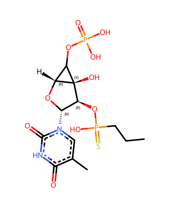 CCCP(O)(=S)O[C@H]1[C@H](n2cc(C)c(=O)[nH]c2=O)O[C@@H]2C(OP(=O)(O)O)[C@@]21O